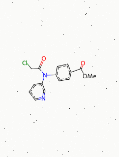 COC(=O)c1ccc(N(C(=O)CCl)c2cccnc2)cc1